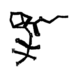 CCCOC(=O)C1C2C=C(OS(=O)(=O)C(F)(F)F)C1CC2